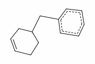 C1=CC[C](Cc2ccccc2)CC1